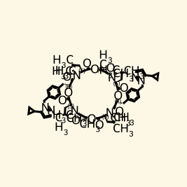 CC(C)C[C@H]1C(=O)O[C@H](Cc2ccc(Cn3nccc3C3CC3)cc2)C(=O)N(C)[C@@H](CC(C)C)C(=O)O[C@H](C)C(=O)N(C)[C@@H](CC(C)C)C(=O)O[C@H](Cc2ccc(Cn3nccc3C3CC3)cc2)C(=O)N(C)[C@@H](CC(C)C)C(=O)O[C@H](C)C(=O)N1C